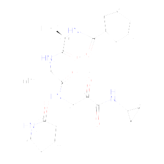 CCC[C@H](NC(=O)[C@@H](C)NC(=O)C1CCCCC1)C(=O)N[C@@H](C[C@@H]1CCCNC1=O)C(=O)C(=O)NC1CC1